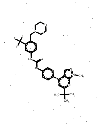 Cn1ncc2c(-c3ccc(NC(=O)Nc4ccc(CN5CCOCC5)c(C(F)(F)F)c4)cc3)cc(C(C)(C)C)nc21